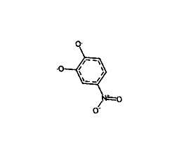 [O]c1ccc([N+](=O)[O-])cc1[O]